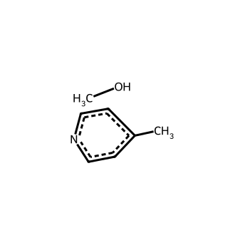 CO.Cc1ccncc1